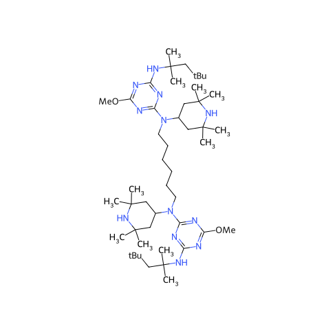 COc1nc(NC(C)(C)CC(C)(C)C)nc(N(CCCCCCN(c2nc(NC(C)(C)CC(C)(C)C)nc(OC)n2)C2CC(C)(C)NC(C)(C)C2)C2CC(C)(C)NC(C)(C)C2)n1